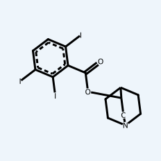 O=C(OC1CN2CCC1CC2)c1c(I)ccc(I)c1I